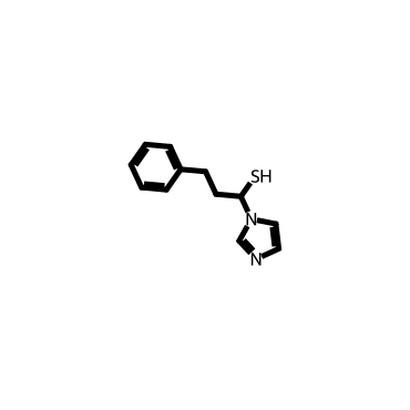 SC(CCc1ccccc1)n1ccnc1